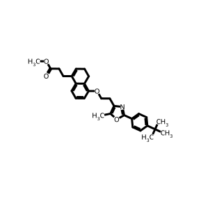 COC(=O)CCC1=CCCc2c(OCCc3nc(-c4ccc(C(C)(C)C)cc4)oc3C)cccc21